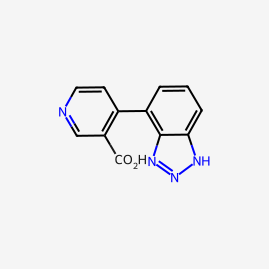 O=C(O)c1cnccc1-c1cccc2[nH]nnc12